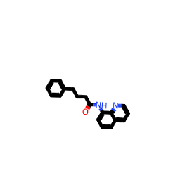 O=C(CCCc1ccccc1)Nc1cccc2cccnc12